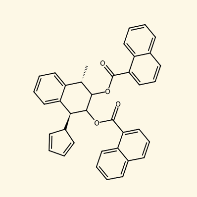 C[C@H]1c2ccccc2[C@H](C2C=CC=C2)C(OC(=O)c2cccc3ccccc23)C1OC(=O)c1cccc2ccccc12